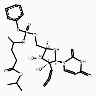 C=C=C[C@]1(O)[C@H](N2C=CC(=O)NC2=C)N[C@](F)(COP(=O)(NC(C)CCC(=O)OC(C)C)Oc2ccccc2)[C@H]1O